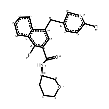 O=C(N[C@@H]1CCCOC1)c1cc(Cc2ccc(Cl)nc2)c2ccccc2c1F